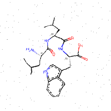 CC(C)C[C@H](NC(=O)[C@@H](N)CC(C)C)C(=O)N[C@@H](Cc1c[nH]c2ccccc12)C(=O)O